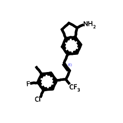 Cc1cc(C(/C=C/c2ccc3c(c2)CCC3N)C(F)(F)F)cc(Cl)c1F